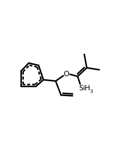 C=CC(OC([SiH3])=C(C)C)c1ccccc1